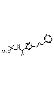 COC(C)(C)CNC(=O)c1cc(COCc2ccccc2)on1